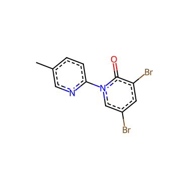 Cc1ccc(-n2cc(Br)cc(Br)c2=O)nc1